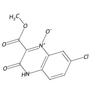 COC(=O)c1c(=O)[nH]c2ccc(Cl)cc2[n+]1[O-]